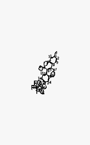 Cc1ccc2c3c(c(=O)oc2c1)-c1ccc(OS(=O)(=O)C(F)(F)F)cc1OC3